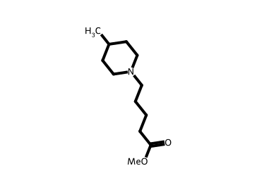 COC(=O)CCCCN1CCC(C)CC1